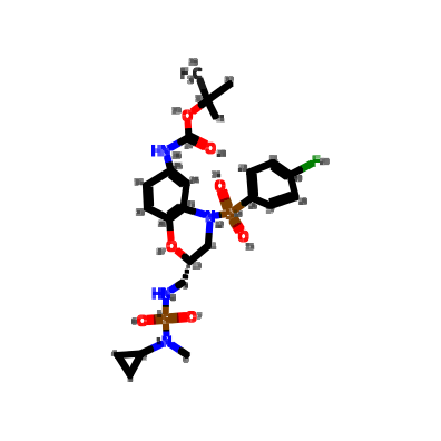 CN(C1CC1)S(=O)(=O)NC[C@H]1CN(S(=O)(=O)c2ccc(F)cc2)c2cc(NC(=O)OC(C)(C)C(F)(F)F)ccc2O1